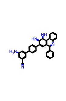 N#Cc1cc(N)cc(-c2ccc(C3=Cc4c(-c5ccccc5)nc5ccccc5c4C(=N)C3=N)cc2)c1